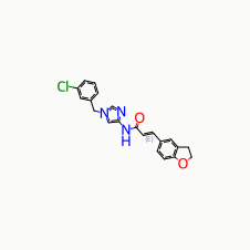 O=C(/C=C/c1ccc2c(c1)CCO2)Nc1cn(Cc2cccc(Cl)c2)cn1